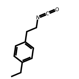 CCc1ccc(CCN=C=O)cc1